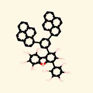 Bc1c(B)c(B)c(-c2c(B)c(B)c(-c3cc(-c4ccc5ccc6cccc7ccc4c5c67)cc(-c4ccc5ccc6cccc7ccc4c5c67)c3)c3c2oc2c(B)c(B)c(B)c(B)c23)c(B)c1B